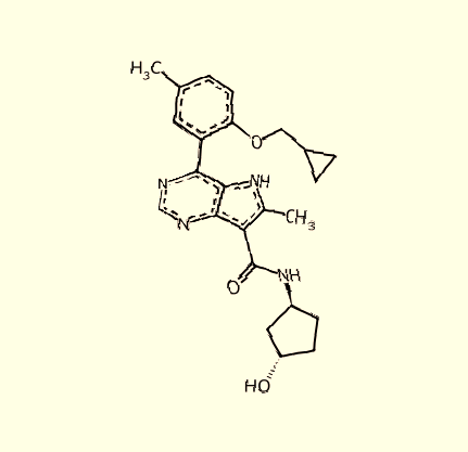 Cc1ccc(OCC2CC2)c(-c2ncnc3c(C(=O)N[C@H]4CC[C@H](O)C4)c(C)[nH]c23)c1